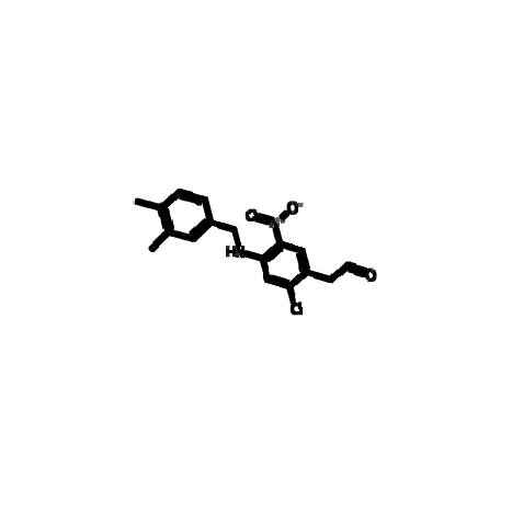 Cc1ccc(CNc2cc(Cl)c(CC=O)cc2[N+](=O)[O-])cc1C